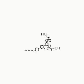 C=C(CCO)C(=O)Oc1cc(OC(=O)C(=C)CCO)cc(-c2ccc(C3CCC(CCCCCCC)CC3)cc2CC)c1